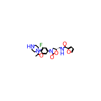 CC(=O)[N+]1(c2ccc(N3C[C@H](CNC(=O)c4ccco4)OC3=O)cc2F)CCNCC1